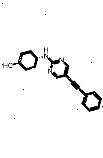 [CH][C@H]1CC[C@H](Nc2ncc(C#Cc3ccccc3)cn2)CC1